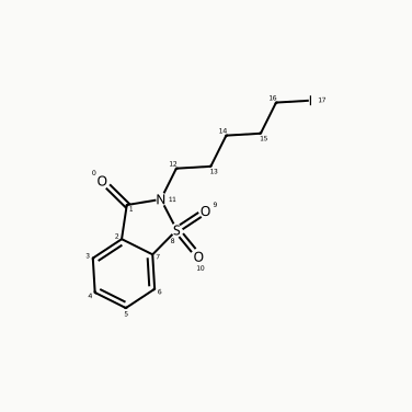 O=C1c2ccccc2S(=O)(=O)N1CCCCCI